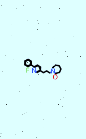 O=C1CCCCCN1CCCc1ccc(-c2ccccc2F)nc1